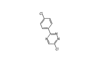 Clc1ccc(-c2ncc(Cl)nn2)cc1